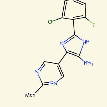 CSc1ncc(-c2nc(-c3c(F)cccc3Cl)[nH]c2N)cn1